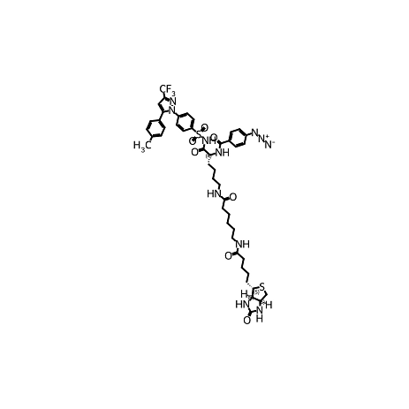 Cc1ccc(-c2cc(C(F)(F)F)nn2-c2ccc(S(=O)(=O)NC(=O)[C@@H](CCCCNC(=O)CCCCCNC(=O)CCCC[C@@H]3SC[C@H]4NC(=O)N[C@@H]34)NC(=O)c3ccc(N=[N+]=[N-])cc3)cc2)cc1